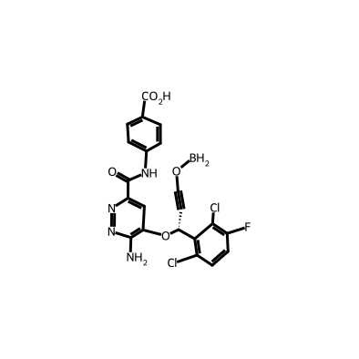 BOC#C[C@@H](Oc1cc(C(=O)Nc2ccc(C(=O)O)cc2)nnc1N)c1c(Cl)ccc(F)c1Cl